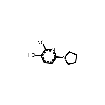 N#Cc1nc(N2CCCC2)ccc1O